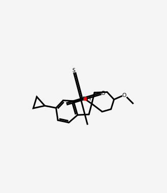 COC1CCC2(CC1)Cc1ccc(C3CC3)cc1C21NC(=S)NC1=O